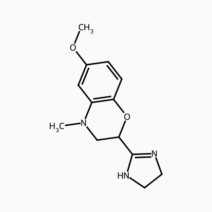 COc1ccc2c(c1)N(C)CC(C1=NCCN1)O2